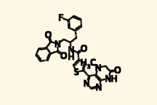 CN1CC(=O)Nc2ncnc(-c3cc(C(=O)NC(Cc4cccc(F)c4)CN4C(=O)c5ccccc5C4=O)cs3)c21